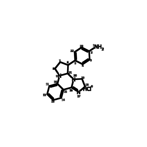 Cl.Nc1ccc(C2CCN3c4ccccc4C4=NCCN4C23)cc1